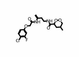 C=C(CCNC(=O)C1CC(C)COO1)NC(=O)COc1ccc(Cl)c(F)c1